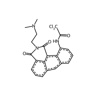 CN(C)CCN1C(=O)c2cccc3cc4cccc(NC(=O)C(Cl)(Cl)Cl)c4c(c23)C1=O